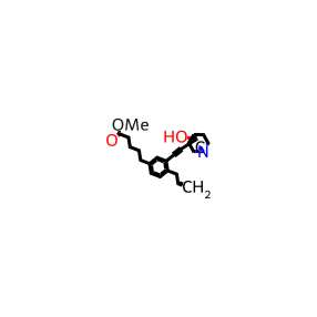 C=CCc1ccc(CCCCC(=O)OC)cc1C#CC1(O)CN2CCC1CC2